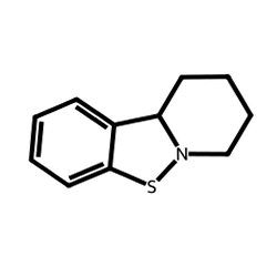 c1ccc2c(c1)SN1CCCCC21